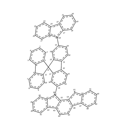 c1ccc2c(c1)-c1ccccc1C21c2cc(-n3c4ccccc4c4ccccc43)ccc2-c2ccc(-n3c4ccccc4c4ccc5c6ccccc6sc5c43)cc21